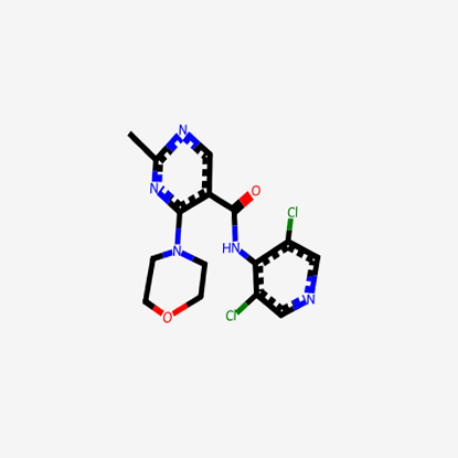 Cc1ncc(C(=O)Nc2c(Cl)cncc2Cl)c(N2CCOCC2)n1